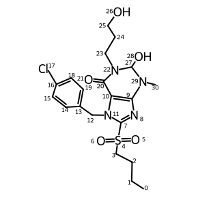 CCCCS(=O)(=O)c1nc2c(n1Cc1ccc(Cl)cc1)C(=O)N(CCCO)C(O)N2C